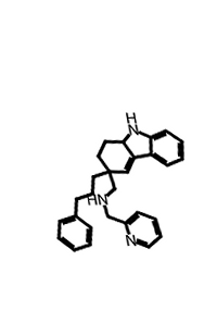 C1=C2c3ccccc3NC2CCC1(CCCc1ccccc1)CNCc1ccccn1